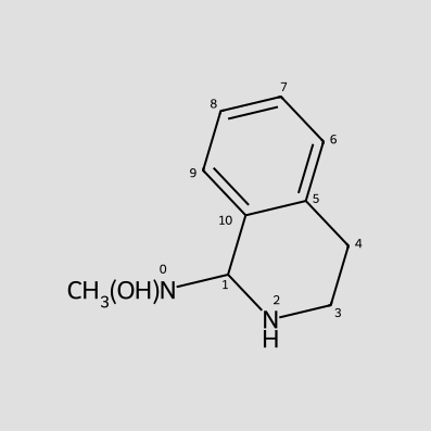 CN(O)C1NCCc2ccccc21